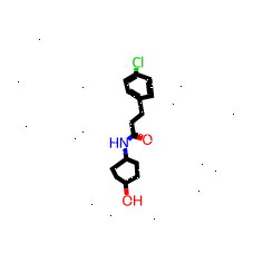 O=C(CCc1ccc(Cl)cc1)NC1CCC(O)CC1